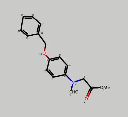 COC(=O)CN(C=O)c1ccc(OCc2ccccc2)cc1